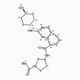 CC(C)(C)C(=O)N1CCC(NC(=O)c2cccc3cnc(N[C@H]4CC[C@H](O)CC4)nc23)C1